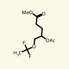 COC(=O)CCC(COC(C)(F)F)OC(C)=O